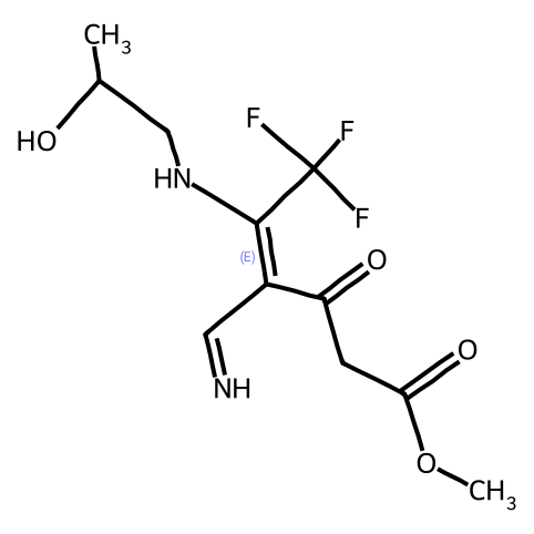 COC(=O)CC(=O)/C(C=N)=C(/NCC(C)O)C(F)(F)F